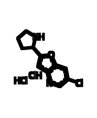 Cl.Cl.Clc1cnc2cc(C3CCCN3)oc2c1